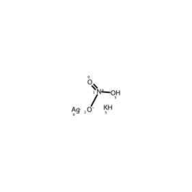 O=[N+]([O-])O.[Ag].[KH]